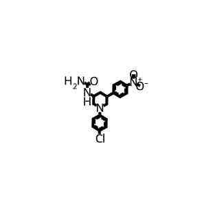 NC(=O)NC1CC(c2ccc([N+](=O)[O-])cc2)CN(c2ccc(Cl)cc2)C1